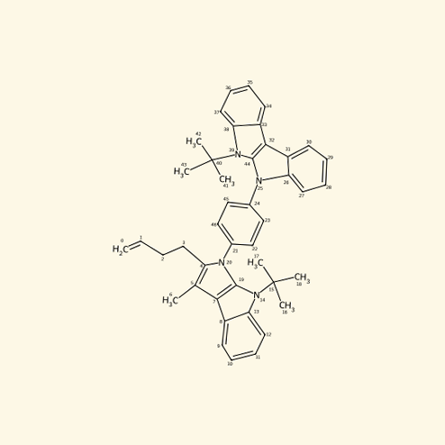 C=CCCc1c(C)c2c3ccccc3n(C(C)(C)C)c2n1-c1ccc(-n2c3ccccc3c3c4ccccc4n(C(C)(C)C)c32)cc1